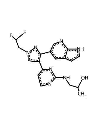 C[C@H](O)CNc1nccc(-c2cn(CC(F)F)nc2-c2cnc3[nH]ccc3c2)n1